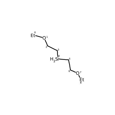 CCOCC[SiH2]CCOCC